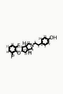 Oc1ccc(CCN2C[C@H]3C[C@H](Oc4c(F)cccc4F)C[C@H]3C2)cc1